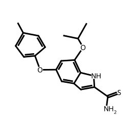 Cc1ccc(Oc2cc(OC(C)C)c3[nH]c(C(N)=S)cc3c2)cc1